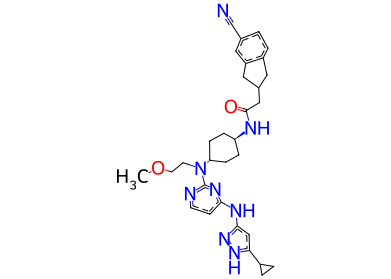 COCCN(c1nccc(Nc2cc(C3CC3)[nH]n2)n1)[C@H]1CC[C@H](NC(=O)CC2Cc3ccc(C#N)cc3C2)CC1